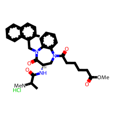 CNC(C)C(=O)N[C@H]1CN(C(=O)CCCCC(=O)OC)c2ccccc2N(Cc2c(C)ccc3ccccc23)C1=O.Cl